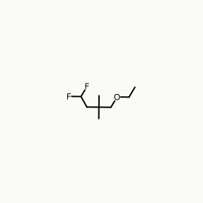 CCOCC(C)(C)CC(F)F